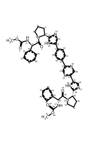 COC(=O)N[C@@H](C(=O)N1CCC[C@H]1c1ncc(-c2ccc(-c3cnc(-c4cnc([C@@H]5CCCN5C(=O)[C@H](NC(=O)OC)c5ccccc5)[nH]4)cn3)cc2)[nH]1)c1ccccc1